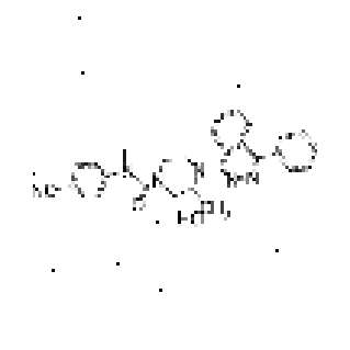 CC1CN(C(=O)Nc2ccc(C#N)cc2)CCN1c1nnc(-c2ccccc2)c2ccccc12.Cl